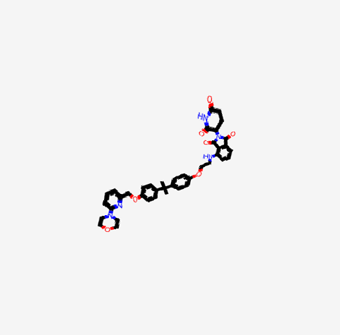 CC(C)(c1ccc(OCCNc2cccc3c2C(=O)N(C2CCC(=O)NC2=O)C3=O)cc1)c1ccc(OCc2cccc(N3CCOCC3)n2)cc1